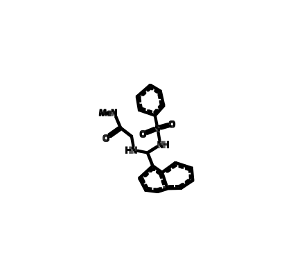 CNC(=O)CNC(NS(=O)(=O)c1ccccc1)c1cccc2ccccc12